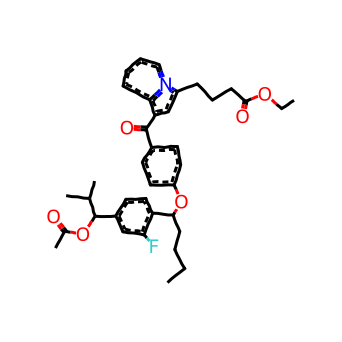 CCCCC(Oc1ccc(C(=O)c2cc(CCCC(=O)OCC)n3ccccc23)cc1)c1ccc(C(OC(C)=O)C(C)C)cc1F